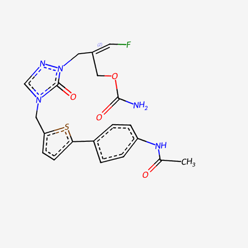 CC(=O)Nc1ccc(-c2ccc(Cn3cnn(C/C(=C/F)COC(N)=O)c3=O)s2)cc1